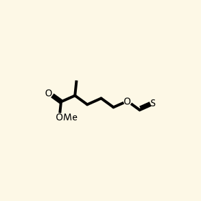 COC(=O)C(C)CCCOC=S